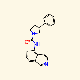 O=C(Nc1cccc2cnccc12)N1CCC(c2ccccc2)C1